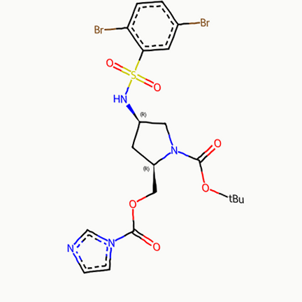 CC(C)(C)OC(=O)N1C[C@H](NS(=O)(=O)c2cc(Br)ccc2Br)C[C@@H]1COC(=O)n1ccnc1